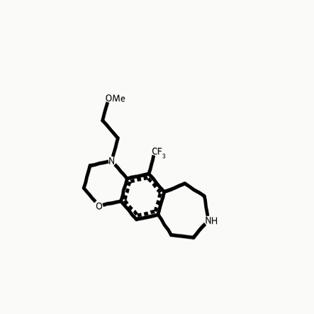 COCCN1CCOc2cc3c(c(C(F)(F)F)c21)CCNCC3